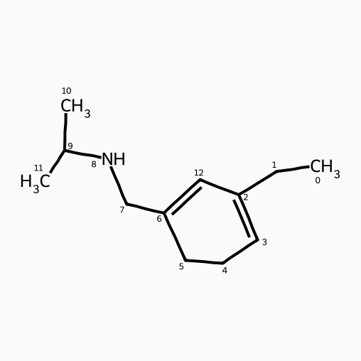 CCC1=CCCC(CNC(C)C)=C1